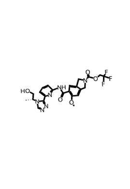 COc1cc2c(cc1C(=O)Nc1cccc(-c3nncn3[C@H](C)CO)n1)CN(C(=O)OCC(F)(F)F)C2